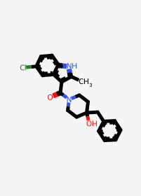 Cc1[nH]c2ccc(Cl)cc2c1C(=O)N1CCC(O)(Cc2ccccc2)CC1